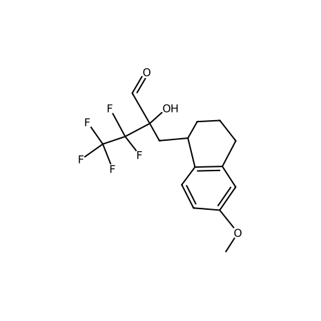 COc1ccc2c(c1)CCCC2CC(O)(C=O)C(F)(F)C(F)(F)F